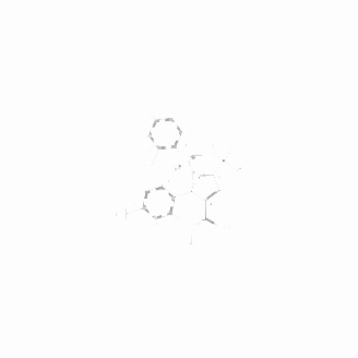 COC(=O)C1=CC(C(C)(C)C)N(S(=O)(=O)c2ccccc2C)C1c1ccc(Cl)cc1